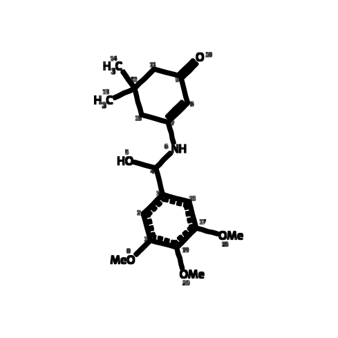 COc1cc(C(O)NC2=CC(=O)CC(C)(C)C2)cc(OC)c1OC